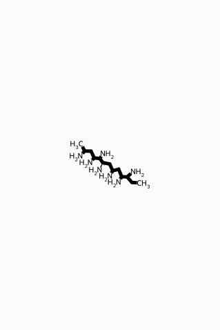 CCC(N)C(N)CC(N)C[C@H](N)C(N)C(N)CC(C)N